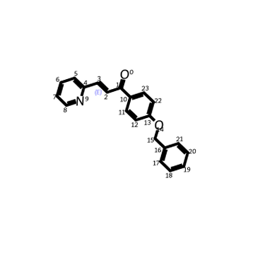 O=C(/C=C/c1ccccn1)c1ccc(OCc2ccccc2)cc1